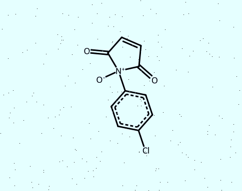 O=C1C=CC(=O)[N+]1([O-])c1ccc(Cl)cc1